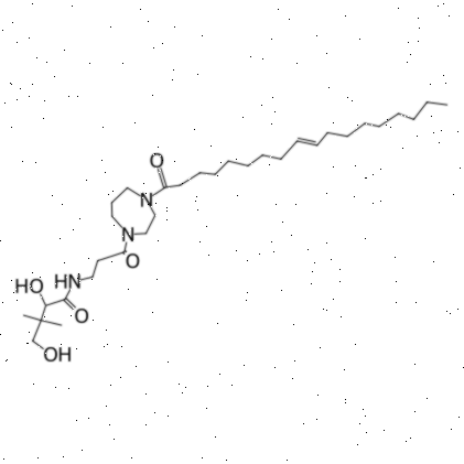 CCCCCCCCC=CCCCCCCCC(=O)N1CCCN(C(=O)CCNC(=O)C(O)C(C)(C)CO)CC1